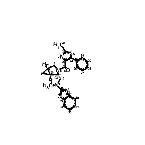 Cc1nc(C(=O)N2C[C@H]3C[C@H]3[C@H]2CN(C)c2nc3ccccc3o2)c(-c2ccccc2)s1